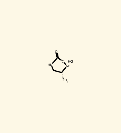 C[C@@H]1CNC(=O)CN1.Cl